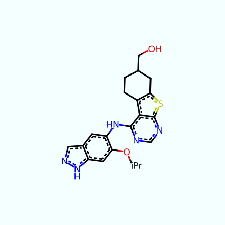 CC(C)Oc1cc2[nH]ncc2cc1Nc1ncnc2sc3c(c12)CCC(CO)C3